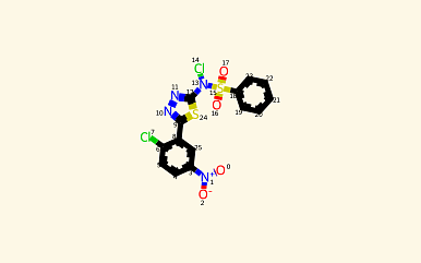 O=[N+]([O-])c1ccc(Cl)c(-c2nnc(N(Cl)S(=O)(=O)c3ccccc3)s2)c1